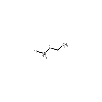 CCO[SiH2]I